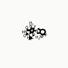 COc1c(N2CC3CCCC(F)(F)C(N)C3C2)c(F)c(N)c2c(=O)[nH]c(=O)n(C3CC3)c12